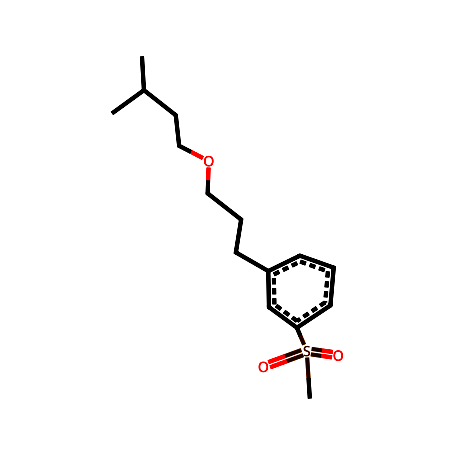 CC(C)CCOCCCc1cccc(S(C)(=O)=O)c1